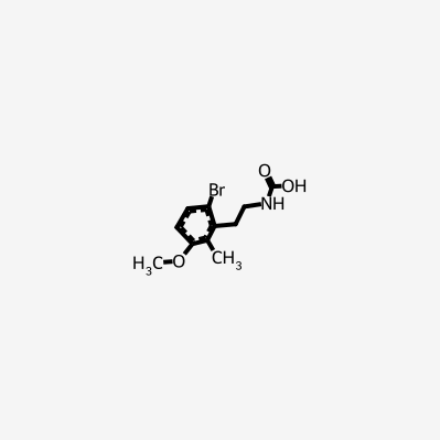 COc1ccc(Br)c(CCNC(=O)O)c1C